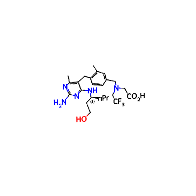 CCC[C@@H](CCO)Nc1nc(N)nc(C)c1Cc1ccc(CN(CC(=O)O)CC(F)(F)F)cc1C